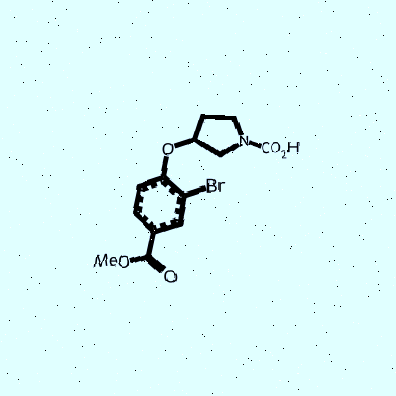 COC(=O)c1ccc(OC2CCN(C(=O)O)C2)c(Br)c1